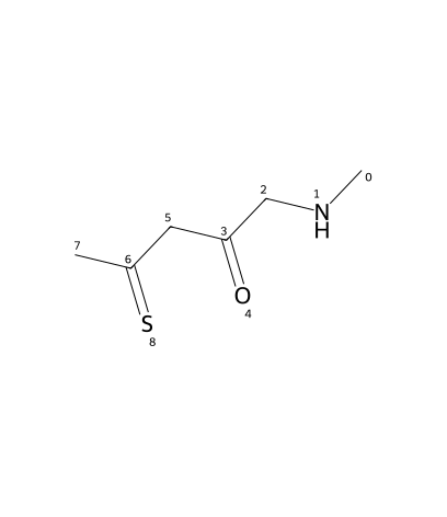 CNCC(=O)CC(C)=S